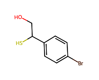 OCC(S)c1ccc(Br)cc1